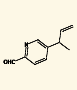 C=CC(C)c1ccc(C=O)nc1